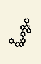 c1ccc(-c2ccc3ccc4ccc(-c5ccc(-c6cccc7c(-c8ccncc8)nc8ccccc8c67)cc5)nc4c3n2)cc1